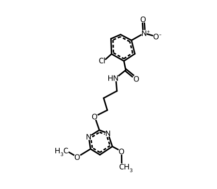 COc1cc(OC)nc(OCCCNC(=O)c2cc([N+](=O)[O-])ccc2Cl)n1